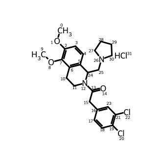 COc1ccc2c(c1OC)CCN(C(=O)Cc1ccc(Cl)c(Cl)c1)C2CN1CCCC1.Cl